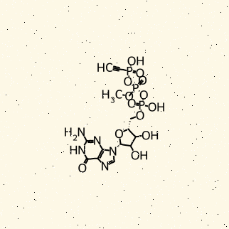 C#CP(=O)(O)OP(=O)(OC)OP(=O)(O)OC[C@H]1O[C@@H](n2cnc3c(=O)[nH]c(N)nc32)C(O)C1O